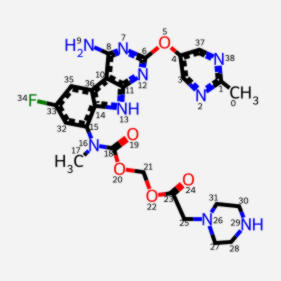 Cc1ncc(Oc2nc(N)c3c(n2)[nH]c2c(N(C)C(=O)OCOC(=O)CN4CCNCC4)cc(F)cc23)cn1